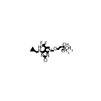 C[Si](C)(C)CCOCn1cc(C(F)(F)F)c2c(NCC3CC3)nc(Cl)nc21